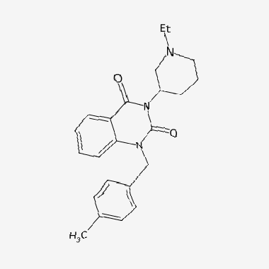 CCN1CCCC(n2c(=O)c3ccccc3n(Cc3ccc(C)cc3)c2=O)C1